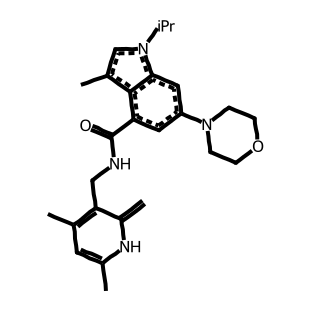 C=C1NC(C)=CC(C)=C1CNC(=O)c1cc(N2CCOCC2)cc2c1c(C)cn2C(C)C